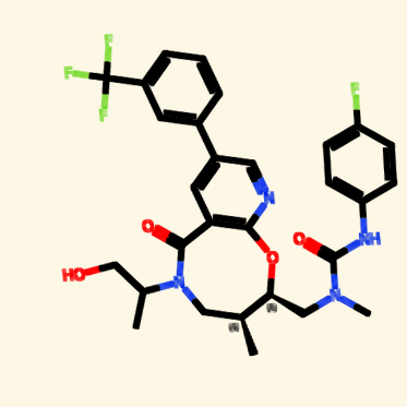 CC(CO)N1C[C@H](C)[C@H](CN(C)C(=O)Nc2ccc(F)cc2)Oc2ncc(-c3cccc(C(F)(F)F)c3)cc2C1=O